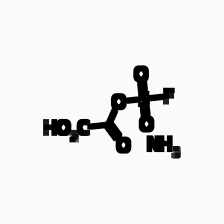 N.O=C(O)C(=O)OS(=O)(=O)F